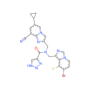 N#Cc1cc(C2CC2)cn2cc(CN(Cc3ncn4ccc(Br)c(F)c34)C(=O)c3c[nH]nn3)nc12